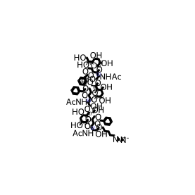 CC(=O)N/C(=C(\O[C@@H]1O[C@H]([C@@H](CO)OC(O)/C(NC(C)=O)=C(\O[C@@H]2O[C@@H]([C@@H](CO)OC(O)/C(NC(C)=O)=C(/O[C@@H]3O[C@@H]([C@H](O)CO)C(O)C[C@@H]3O)C3CCOC(c4ccccc4)O3)C(O)C[C@@H]2O)C2CCOC(c3ccccc3)O2)C(O)C[C@@H]1O)C1CCOC(c2ccccc2)O1)C(O)OCCCCCN=[N+]=[N-]